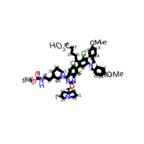 COc1ccc(CN(Cc2ccc(OC)cc2)c2cc(Cl)c(CCCCC(=O)O)c(-c3c(Cl)cc4c(N5CCCC(CCNC(=O)OC(C)(C)C)C5)nc(OC[C@@]56CCCN5C[C@H](F)C6)nc4c3F)c2)cc1